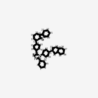 c1ccc(-c2nnc(-c3ccc(-c4cccc5c4sc4ccccc45)cc3)n2-c2ccc(-c3ccc4ccccc4c3)cc2)cc1